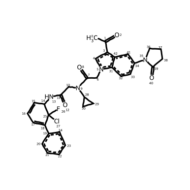 CC(=O)c1cn(CC(=O)N(CC(=O)NC2C=CC=C(c3ccccc3)C2(F)Cl)C2CC2)c2ccc(N3CCCC3=O)cc12